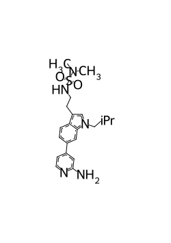 CC(C)Cn1cc(CCNS(=O)(=O)N(C)C)c2ccc(-c3ccnc(N)c3)cc21